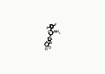 N[C@H]1C[C@@H](N2Cc3nc4n(c3C2)CCNC4=O)CO[C@@H]1c1cc(F)ccc1F